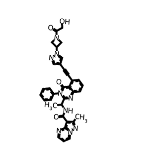 Cc1nn2cccnc2c1C(=O)NC(C)c1nc2cccc(C#Cc3cnn(C4CN(C(=O)CO)C4)c3)c2c(=O)n1-c1ccccc1